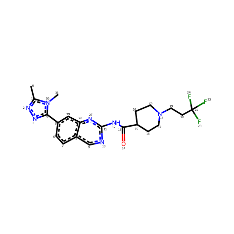 Cc1nnc(-c2ccc3cnc(NC(=O)C4CCN(CCC(F)(F)F)CC4)nc3c2)n1C